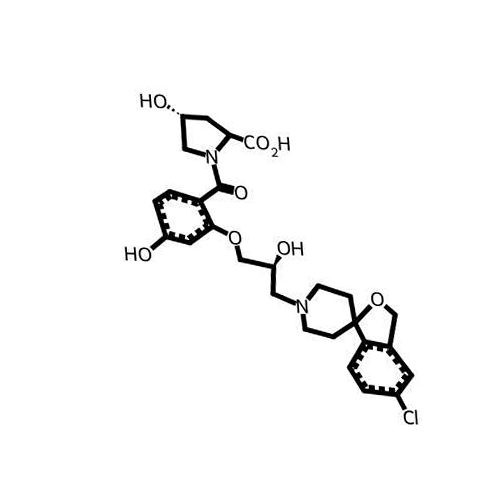 O=C(O)C1C[C@@H](O)CN1C(=O)c1ccc(O)cc1OC[C@@H](O)CN1CCC2(CC1)OCc1cc(Cl)ccc12